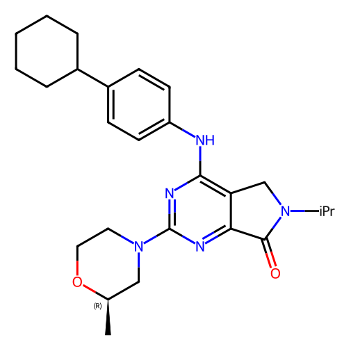 CC(C)N1Cc2c(Nc3ccc(C4CCCCC4)cc3)nc(N3CCO[C@H](C)C3)nc2C1=O